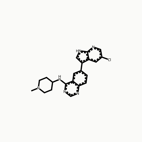 CN1CCC(Nc2ncnc3ccc(-c4c[nH]c5ncc(Cl)cc45)cc23)CC1